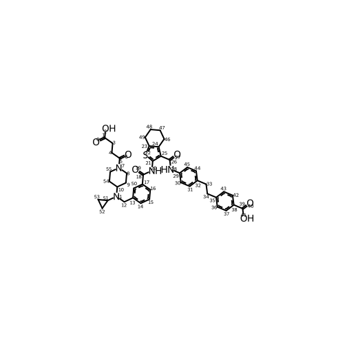 O=C(O)CCC(=O)N1CCC(N(Cc2cccc(C(=O)Nc3sc4c(c3C(=O)Nc3ccc(CCc5ccc(C(=O)O)cc5)cc3)CCCC4)c2)C2CC2)CC1